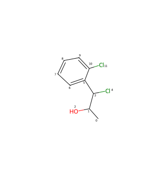 CC(O)C(Cl)c1ccccc1Cl